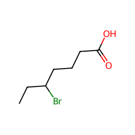 CCC(Br)CCCC(=O)O